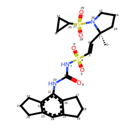 C[C@@]1(/C=C/S(=O)(=O)NC(=O)Nc2c3c(cc4c2CCC4)CCC3)CCCN1S(=O)(=O)C1CC1